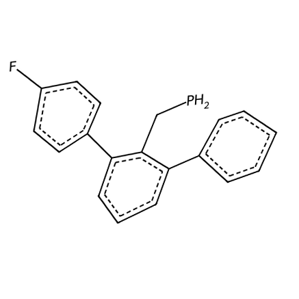 Fc1ccc(-c2cccc(-c3ccccc3)c2CP)cc1